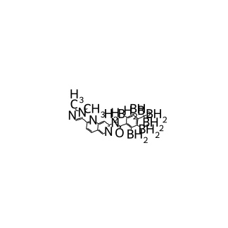 Bc1c(B)c(C(B)(B)B)c(B)c(B)c1C(=O)Nc1cc2nc(-c3cnc(C)n3C)ccc2cn1